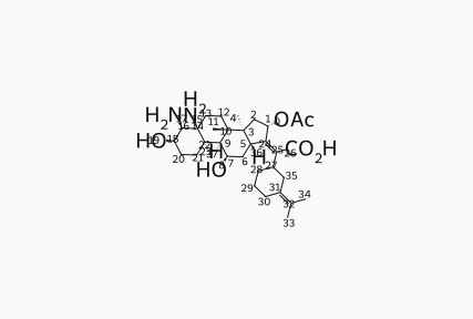 CC(=O)O[C@H]1C[C@@]2(C)[C@@H](C[C@@H](O)[C@@H]3[C@]2(C)CC[C@@]2(N)[C@H](N)[C@H](O)CC[C@]32C)/C1=C(/C(=O)O)C1CCCC(=C(C)C)C1